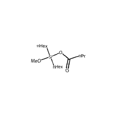 CCCCCC[Si](CCCCCC)(OC)OC(=O)CCC